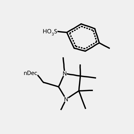 CCCCCCCCCCCC1N(C)C(C)(C)C(C)(C)N1C.Cc1ccc(S(=O)(=O)O)cc1